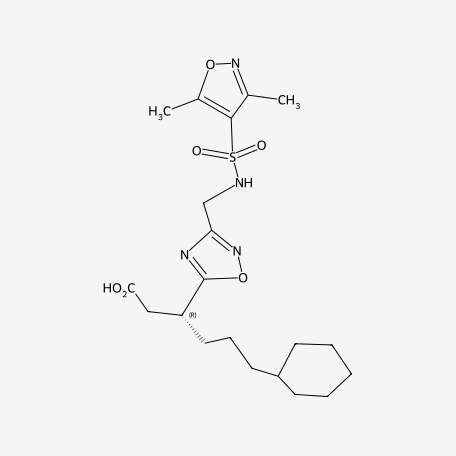 Cc1noc(C)c1S(=O)(=O)NCc1noc([C@H](CCCC2CCCCC2)CC(=O)O)n1